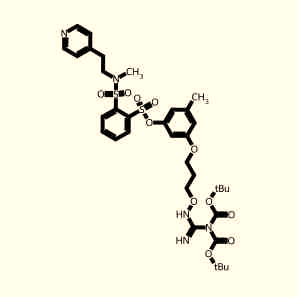 Cc1cc(OCCCONC(=N)N(C(=O)OC(C)(C)C)C(=O)OC(C)(C)C)cc(OS(=O)(=O)c2ccccc2S(=O)(=O)N(C)CCc2ccncc2)c1